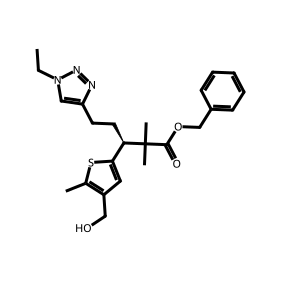 CCn1cc(CC[C@H](c2cc(CO)c(C)s2)C(C)(C)C(=O)OCc2ccccc2)nn1